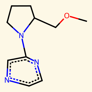 COCC1CCCN1c1cnccn1